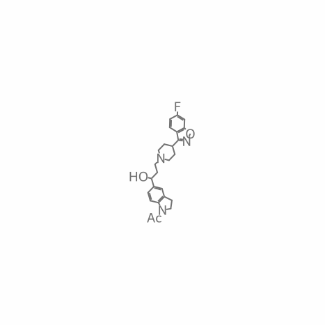 CC(=O)N1CCc2cc(C(O)CCN3CCC(c4noc5cc(F)ccc45)CC3)ccc21